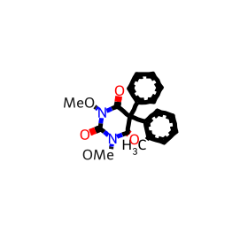 CON1C(=O)N(OC)C(=O)C(c2ccccc2)(c2ccccc2C)C1=O